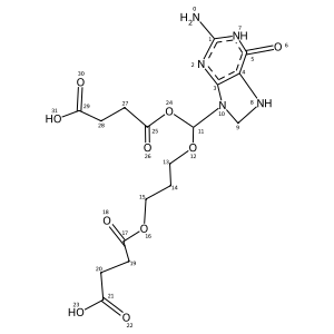 Nc1nc2c(c(=O)[nH]1)NCN2C(OCCCOC(=O)CCC(=O)O)OC(=O)CCC(=O)O